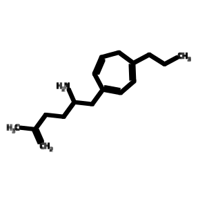 C=C(C)CCC(N)CC1=CC=C(CCC)CC=C1